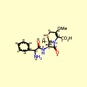 COC1=C(C(=O)O)N2C(=O)[C@@H](NC(=O)C(N)c3ccccc3)[C@H]2SC1